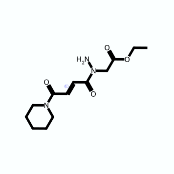 CCOC(=O)CN(N)C(=O)/C=C/C(=O)N1CCCCC1